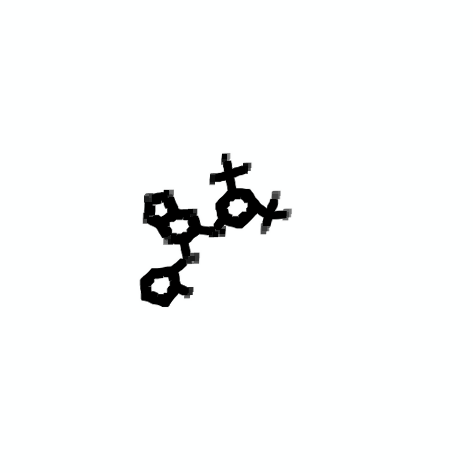 Fc1ccccc1Nc1nc2nonc2nc1Nc1cc(C(F)(F)F)cc(C(F)(F)F)c1